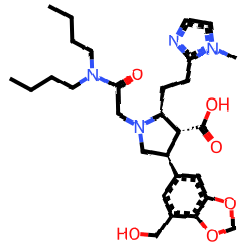 CCCCN(CCCC)C(=O)CN1C[C@H](c2cc(CO)c3c(c2)OCO3)[C@@H](C(=O)O)[C@@H]1CCc1nccn1C